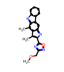 COCc1noc(C2=C(C)c3c(C)c4c(cc3=N2)-c2ccccc2N=4)n1